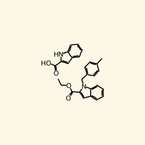 CCOC(=O)c1cc2ccccc2n1Cc1ccc(C)cc1.O=C(O)c1cc2ccccc2[nH]1